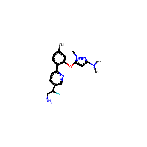 CCN(CC)c1cc(Oc2cc(C#N)ccc2-c2ccc(C(F)CN)cn2)n(C)n1